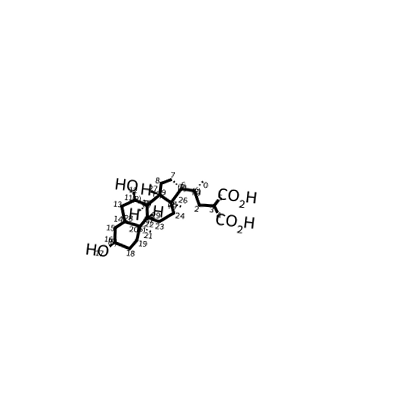 C[C@H](CC(C(=O)O)C(=O)O)[C@H]1CC[C@H]2[C@@H]3[C@H](O)CC4C[C@H](O)CC[C@]4(C)[C@H]3CC[C@]12C